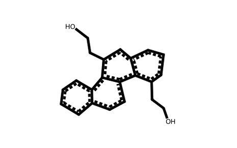 OCCc1cccc2cc(CCO)c3c4ccccc4ccc3c12